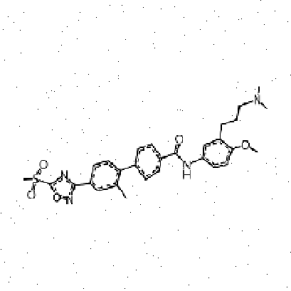 COc1ccc(NC(=O)c2ccc(-c3ccc(-c4noc(S(C)(=O)=O)n4)cc3C)cc2)cc1CCCN(C)C